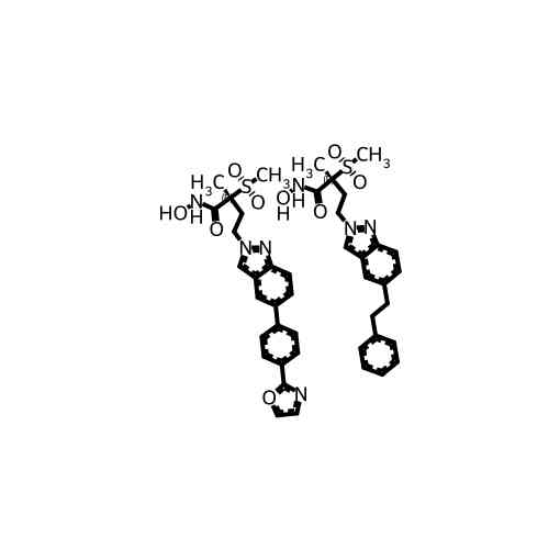 C[C@@](CCn1cc2cc(-c3ccc(-c4ncco4)cc3)ccc2n1)(C(=O)NO)S(C)(=O)=O.C[C@@](CCn1cc2cc(CCc3ccccc3)ccc2n1)(C(=O)NO)S(C)(=O)=O